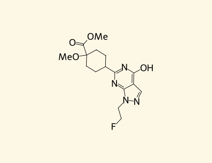 COC(=O)C1(OC)CCC(c2nc(O)c3cnn(CCF)c3n2)CC1